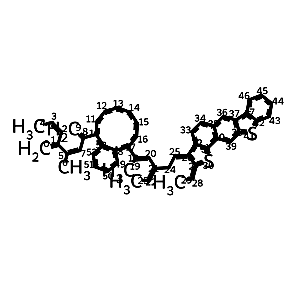 C=C(/C=C\C)/C(C)=C\C(=C)c1ccccccc(/C(C)=C/C(=C\C)C/C=c2\c(=C/C)sc3c2ccc2cc4c(cc23)sc2ccccc24)c2ccccc12